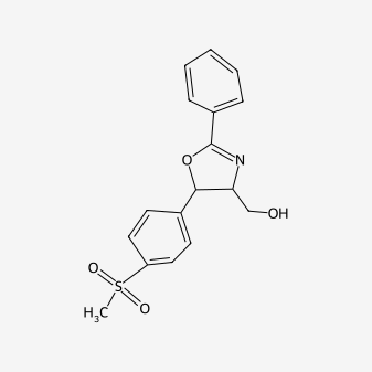 CS(=O)(=O)c1ccc(C2OC(c3ccccc3)=NC2CO)cc1